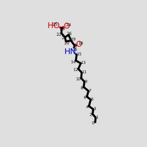 CCCCCCCCCCCCCCCCNC(=O)C1CC(CC(=O)O)C1